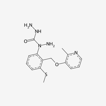 CSc1cccc(N(N)C(=O)NN)c1COc1cccnc1C